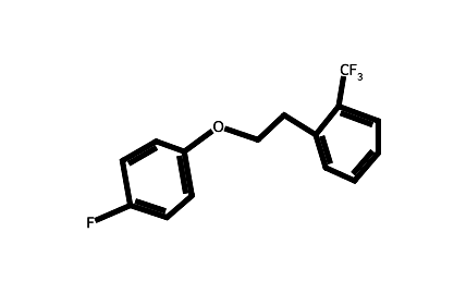 Fc1ccc(OCCc2ccccc2C(F)(F)F)cc1